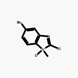 CCC1=Nc2cc(C(C)CC)ccc2[N+]1(C)[O-]